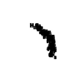 Cc1ccc(-c2ccc3c(F)c(-c4cc(F)c(C(F)(F)Oc5ccc6c(F)c(C#CC(F)(F)F)c(F)cc6c5)c(F)c4)c(F)cc3c2)cc1